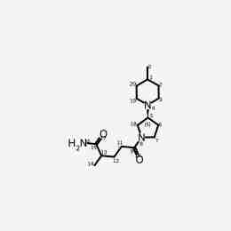 CC1CCN([C@H]2CCN(C(=O)[CH]CC(C)C(N)=O)C2)CC1